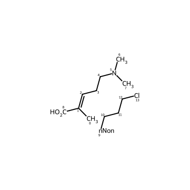 CC(=CCCN(C)C)C(=O)O.CCCCCCCCCCCCCl